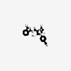 CC1=C(C(=O)OC2OC(=O)c3ccccc32)N2C(=O)C[C@@H]2N1c1ccc(C#N)cc1